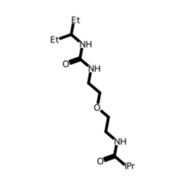 CCC(CC)NC(=O)NCCOCCNC(=O)C(C)C